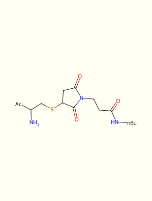 CCCCNC(=O)CCN1C(=O)CC(SCC(N)C(C)=O)C1=O